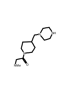 CNCC(=O)N1CCC(CN2CCNCC2)CC1